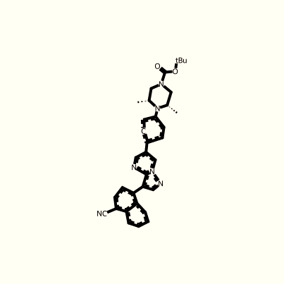 C[C@@H]1CN(C(=O)OC(C)(C)C)C[C@H](C)N1c1ccc(-c2cnc3c(-c4ccc(C#N)c5ccccc45)cnn3c2)cc1